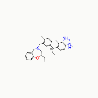 CCC1CN(Cc2cc([C@@H](CC)c3ccc(NC)c(N)c3C)ccc2C)Cc2ccccc2O1